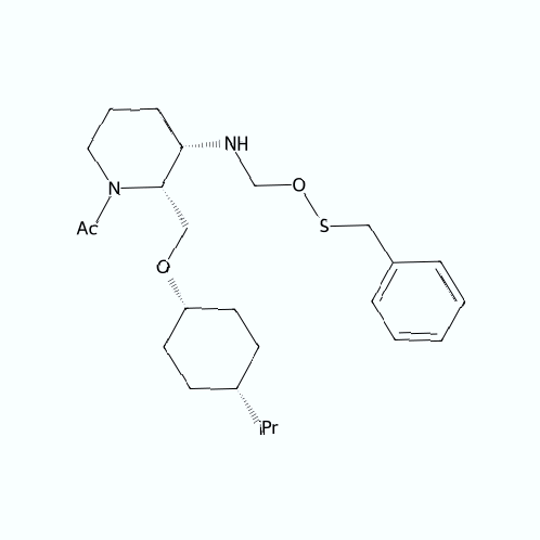 CC(=O)N1CCC[C@H](NCOSCc2ccccc2)[C@@H]1CO[C@H]1CC[C@@H](C(C)C)CC1